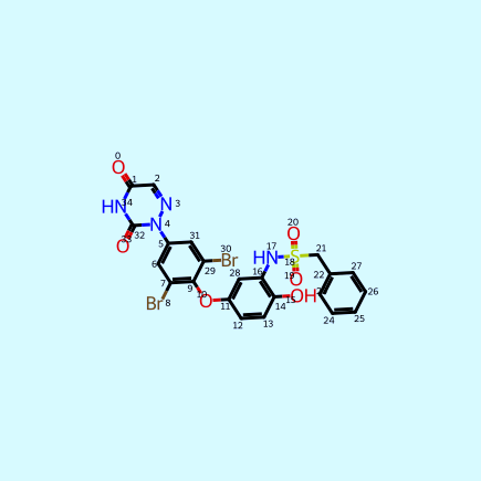 O=c1cnn(-c2cc(Br)c(Oc3ccc(O)c(NS(=O)(=O)Cc4ccccc4)c3)c(Br)c2)c(=O)[nH]1